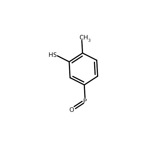 Cc1ccc(P=O)cc1S